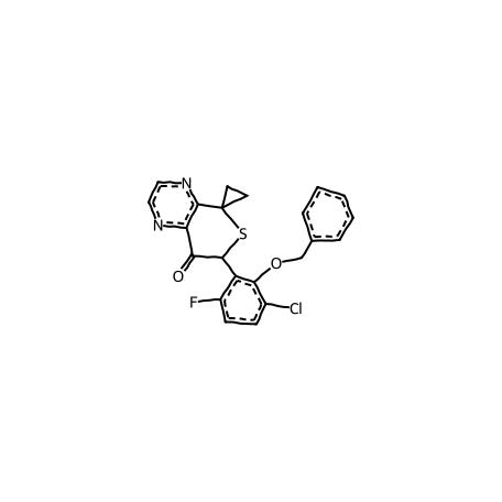 O=C1c2nccnc2C2(CC2)SC1c1c(F)ccc(Cl)c1OCc1ccccc1